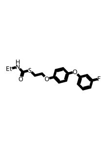 CCNC(=O)SCCOc1ccc(Oc2cccc(F)c2)cc1